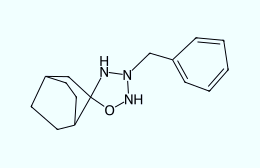 c1ccc(CN2NOC3(CC4CCC3CC4)N2)cc1